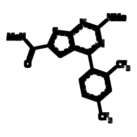 CNC(=O)c1cc2c(-c3ccc(C(F)(F)F)cc3C(F)(F)F)nc(NC)nc2s1